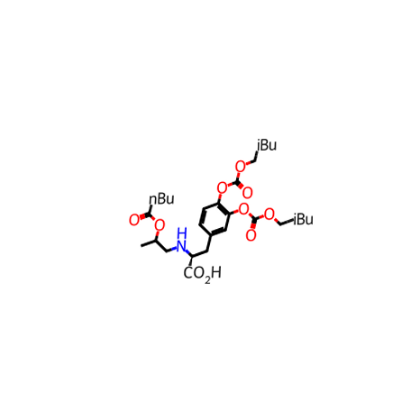 CCCCC(=O)OC(C)CN[C@@H](Cc1ccc(OC(=O)OCC(C)CC)c(OC(=O)OCC(C)CC)c1)C(=O)O